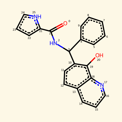 O=C(NC(c1ccccc1)c1ccc2cccnc2c1O)c1ccc[nH]1